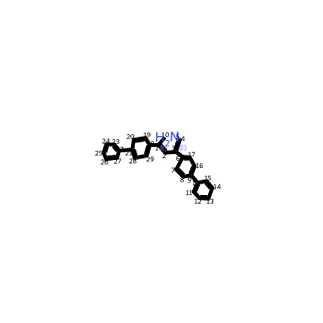 C/C(=C\C(=C/N)c1ccc(-c2ccccc2)cc1)c1ccc(-c2ccccc2)cc1